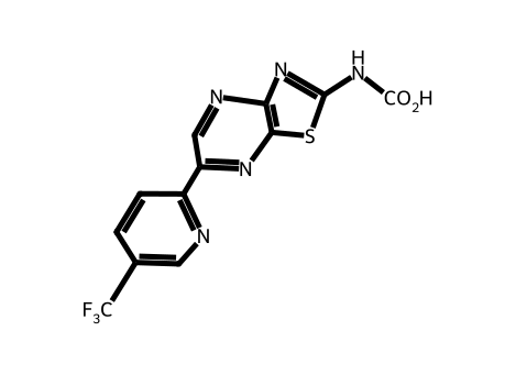 O=C(O)Nc1nc2ncc(-c3ccc(C(F)(F)F)cn3)nc2s1